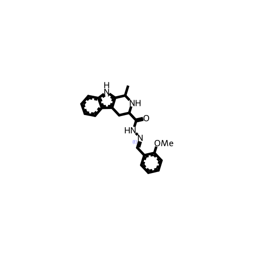 COc1ccccc1/C=N/NC(=O)C1Cc2c([nH]c3ccccc23)C(C)N1